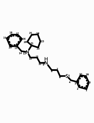 c1ccc(CSCCCNCCCN(Cc2ccccc2)C2CCCCC2)cc1